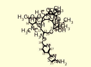 CCC(=O)/N=C1\[C@H](C)C[C@@]2(C)OC/C(=N/OCc3ccc(-c4nc(N)cs4)cn3)CO[C@H]([C@H]1C)[C@](C)(O)[C@@H](CC)OC(=O)[C@@](C)(O)C(=O)[C@H](C)[C@H]2O[C@@H]1O[C@H](C)C[C@H](N(C)C)[C@H]1O